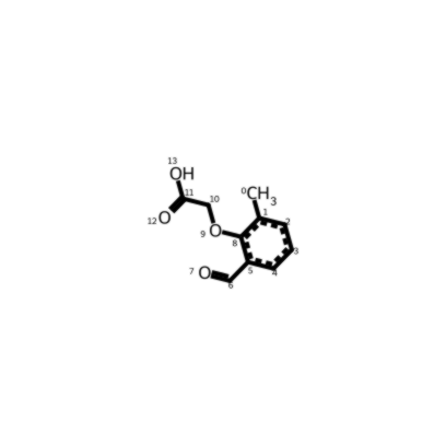 Cc1cccc(C=O)c1OCC(=O)O